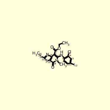 CCOC(=O)c1c(Nc2ccc(I)cc2Cl)n(C)c(=O)c2sc(SC)nc12